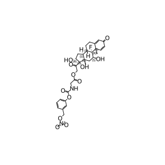 C[C@]12C=CC(=O)C=C1CC[C@H]1[C@@H]3C[C@@H](O)[C@](O)(C(=O)COC(=O)CNC(=O)Oc4cccc(CO[N+](=O)[O-])c4)[C@@]3(C)C[C@H](O)[C@@]12F